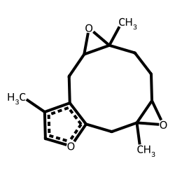 Cc1coc2c1CC1OC1(C)CCC1OC1(C)C2